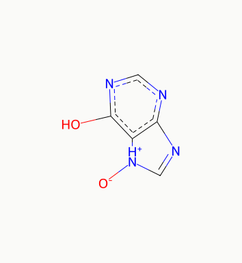 [O-][NH+]1C=Nc2ncnc(O)c21